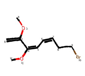 C=C(OC)/C(=C\C=C/CCBr)OC